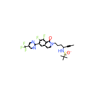 CC#CC(CCCn1ccc2cc(-c3ncc(C(F)(F)F)cn3)c(F)c(F)c2c1=O)N[S@+]([O-])C(C)(C)C